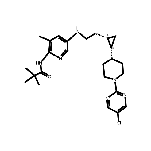 Cc1cc(NCC[C@@H]2C[C@@H]2C2CCN(c3ncc(Cl)cn3)CC2)cnc1NC(=O)C(C)(C)C